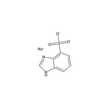 O=S(=O)([O-])c1cccc2[nH]cnc12.[Na+]